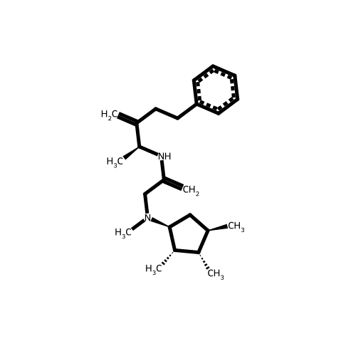 C=C(CN(C)[C@H]1C[C@@H](C)[C@H](C)[C@@H]1C)N[C@@H](C)C(=C)CCc1ccccc1